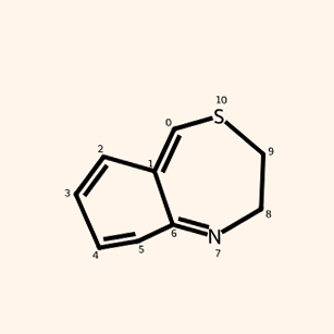 C1=c2ccccc2=NCCS1